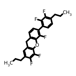 CCCc1ccc(-c2ccc3c(c2F)Oc2c(cc(CCC)c(F)c2F)C3)c(F)c1F